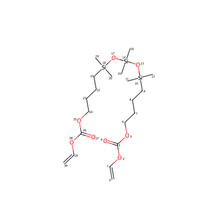 C=COC(=O)OCCCC[Si](C)(C)O[Si](C)(C)O[Si](C)(C)CCCCOC(=O)OC=C